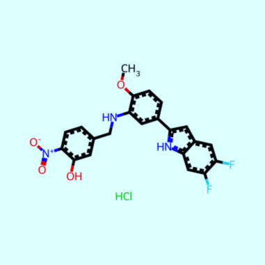 COc1ccc(-c2cc3cc(F)c(F)cc3[nH]2)cc1NCc1ccc([N+](=O)[O-])c(O)c1.Cl